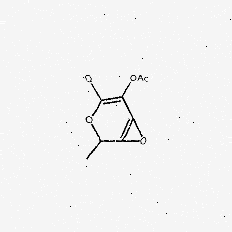 CC(=O)OC1=C([O])OC(C)C2=C1O2